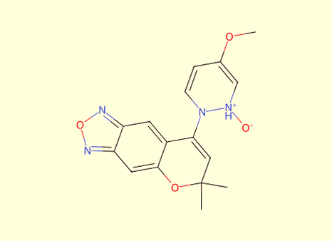 COC1=C[NH+]([O-])N(C2=CC(C)(C)Oc3cc4nonc4cc32)C=C1